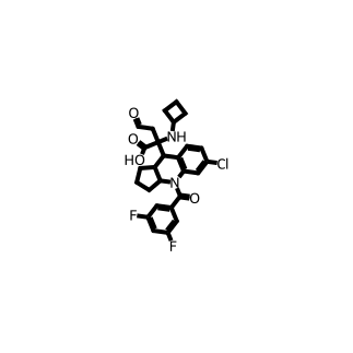 O=CCC(NC1CCC1)(C(=O)O)C1c2ccc(Cl)cc2N(C(=O)c2cc(F)cc(F)c2)C2CCCC21